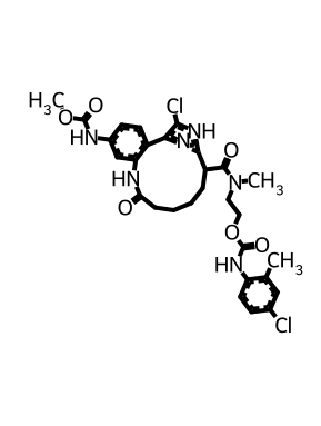 COC(=O)Nc1ccc2c(c1)NC(=O)CCCCC(C(=O)N(C)CCOC(=O)Nc1ccc(Cl)cc1C)c1nc-2c(Cl)[nH]1